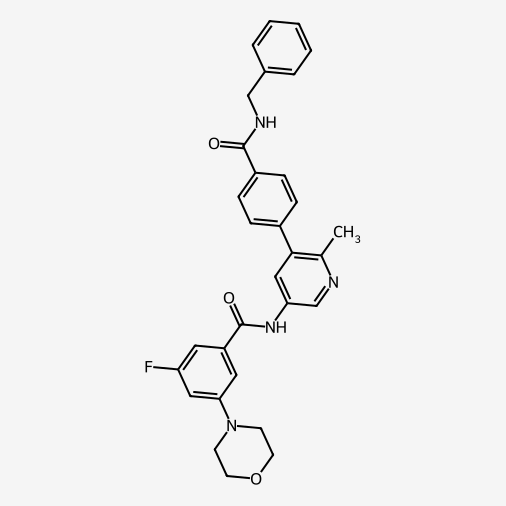 Cc1ncc(NC(=O)c2cc(F)cc(N3CCOCC3)c2)cc1-c1ccc(C(=O)NCc2ccccc2)cc1